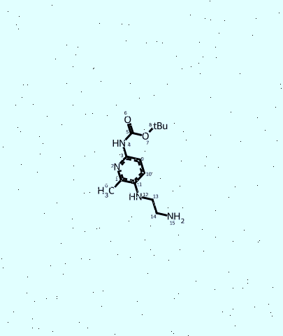 Cc1nc(NC(=O)OC(C)(C)C)ccc1NCCN